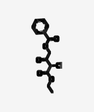 CCOC(=O)C(Cl)C(=O)COC(=O)c1ccccc1